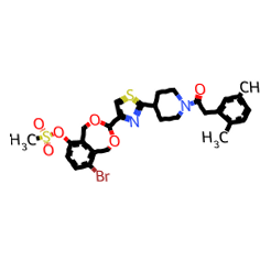 Cc1ccc(C)c(CC(=O)N2CCC(c3nc(C4OCc5c(Br)ccc(OS(C)(=O)=O)c5CO4)cs3)CC2)c1